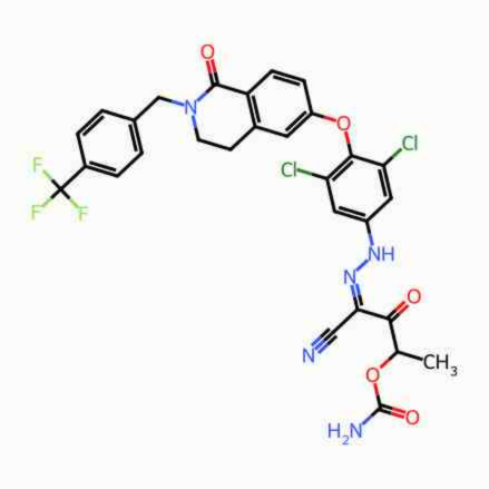 CC(OC(N)=O)C(=O)C(C#N)=NNc1cc(Cl)c(Oc2ccc3c(c2)CCN(Cc2ccc(C(F)(F)F)cc2)C3=O)c(Cl)c1